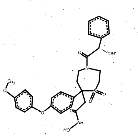 COc1ccc(Oc2ccc(C3(CC(=O)NO)CCN(C(=O)[C@@H](O)c4ccccc4)CCS3(=O)=O)cc2)cc1